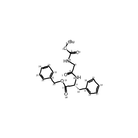 CC(C)(C)OC(=O)NCC(=O)N[C@H](Cc1ccccc1)C(=O)OCc1ccccc1